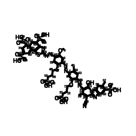 COc1cc(N=Nc2cc(OCCCS(=O)(=O)O)c(N=Nc3c(C)c(C#N)c4nc5cc(S(=O)(=O)O)c(C)cc5n4c3O)cc2C)c(SCCCS(=O)(=O)O)cc1N=Nc1nc2c(S(=O)(=O)O)cc3c(S(=O)(=O)O)cc(S(=O)(=O)O)cc3c2s1